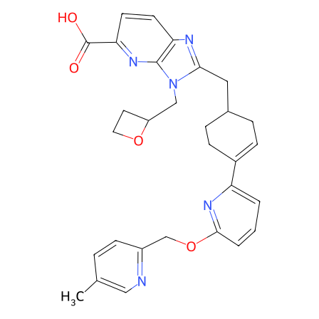 Cc1ccc(COc2cccc(C3=CCC(Cc4nc5ccc(C(=O)O)nc5n4CC4CCO4)CC3)n2)nc1